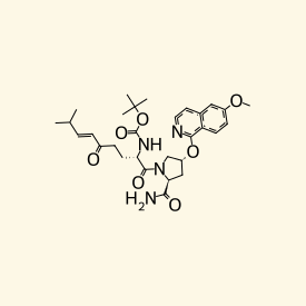 COc1ccc2c(O[C@@H]3C[C@@H](C(N)=O)N(C(=O)[C@H](CCC(=O)/C=C/C(C)C)NC(=O)OC(C)(C)C)C3)nccc2c1